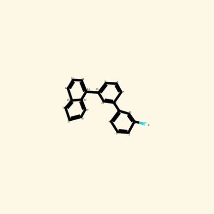 Fc1cccc(-c2cccc(-c3cccc4ccccc34)c2)c1